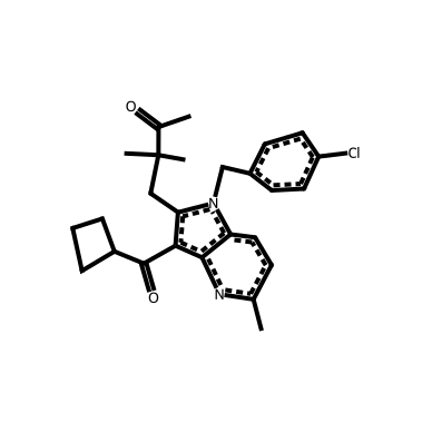 CC(=O)C(C)(C)Cc1c(C(=O)C2CCC2)c2nc(C)ccc2n1Cc1ccc(Cl)cc1